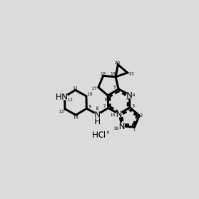 Cl.c1cc2nc3c(c(NC4CCNCC4)n2n1)CCC31CC1